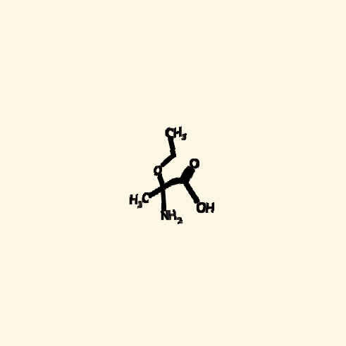 CCOC(C)(N)C(=O)O